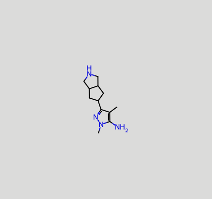 Cc1c(C2CC3CNCC3C2)nn(C)c1N